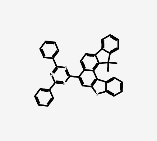 CC1(C)c2ccccc2-c2ccc3c(-c4nc(-c5ccccc5)nc(-c5ccccc5)n4)cc4sc5ccccc5c4c3c21